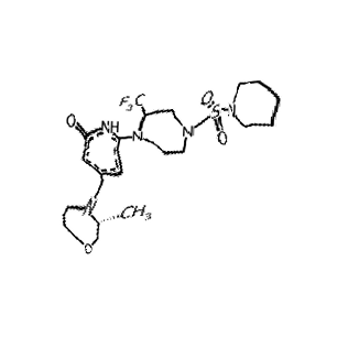 C[C@@H]1COCCN1c1cc(N2CCN(S(=O)(=O)N3CCCCC3)CC2C(F)(F)F)[nH]c(=O)c1